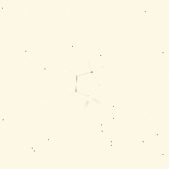 O=S1(=O)CC(F)(C(F)(F)F)C(F)C1F